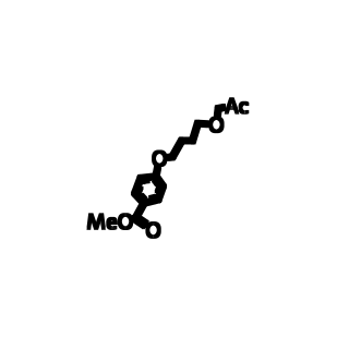 COC(=O)c1ccc(OCCCCOCC(C)=O)cc1